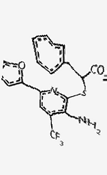 Nc1c(C(F)(F)F)cc(-c2ccco2)nc1SC(C(=O)O)c1ccccc1